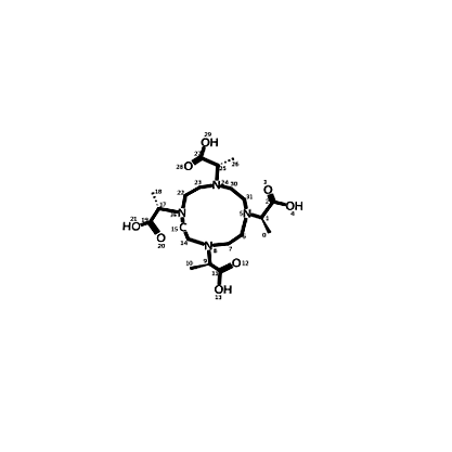 C[C@H](C(=O)O)N1CCN([C@H](C)C(=O)O)CCN([C@@H](C)C(=O)O)CCN([C@@H](C)C(=O)O)CC1